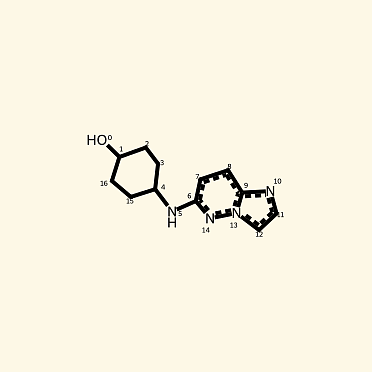 OC1CCC(Nc2ccc3nccn3n2)CC1